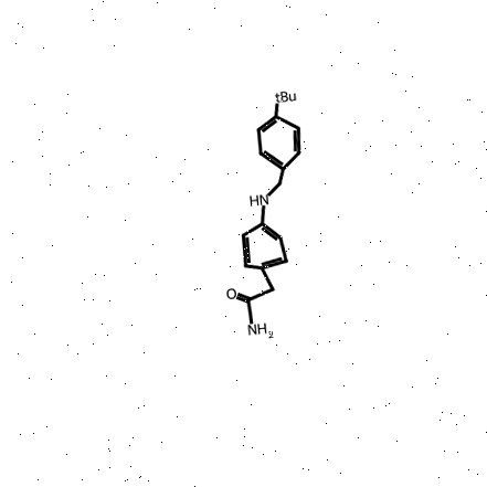 CC(C)(C)c1ccc(CNc2ccc(CC(N)=O)cc2)cc1